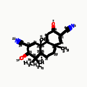 CC12C=C(C#N)C(=O)C=C1[C@@]1(C)C=C(C#N)C(=O)C(C)(C)[C@@H]1CC2